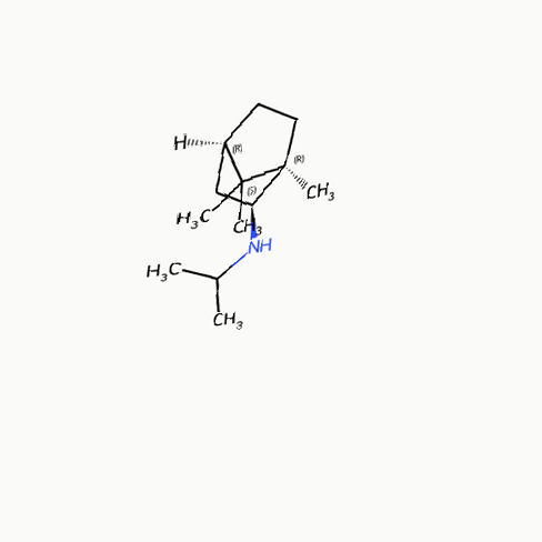 CC(C)N[C@H]1C[C@H]2CC[C@]1(C)C2(C)C